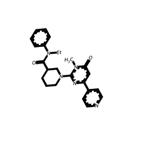 CCN(C(=O)C1CCCN(c2nc(-c3ccncc3)cc(=O)n2C)C1)c1ccccc1